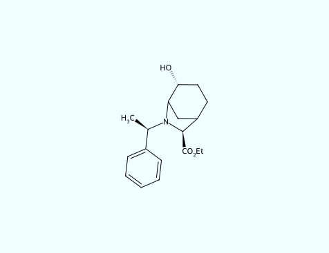 CCOC(=O)[C@@H]1C2CC[C@@H](O)C(C2)N1[C@H](C)c1ccccc1